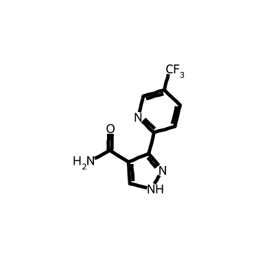 NC(=O)c1c[nH]nc1-c1ccc(C(F)(F)F)cn1